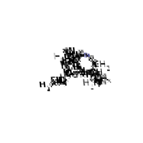 CC(C)Oc1ccc(-c2cc(O[C@@H]3C[C@H]4C(=O)N[C@]5(C(=O)NS(=O)(=O)C6(C)CC6)C[C@H]5/C=C\CC[C@H](C)C[C@@H](C)[C@H](NC(=O)OC(C)(C)C(F)(F)F)C(=O)N4C3)cc(-c3cnccn3)n2)cc1